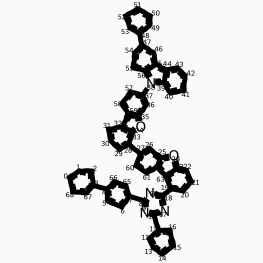 c1ccc(-c2ccc(-c3nc(-c4ccccc4)nc(-c4cccc5oc6cc(-c7cccc8c7oc7cc(-n9c%10ccccc%10c%10cc(-c%11ccccc%11)ccc%109)ccc78)ccc6c45)n3)cc2)cc1